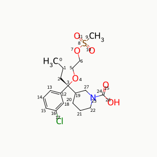 CCC[C@](OCCOS(C)(=O)=O)(c1cccc(Cl)c1)C1CCCN(C(=O)O)C1